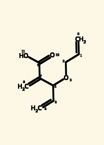 C=CCOC(C=C)C(=C)C(=O)O